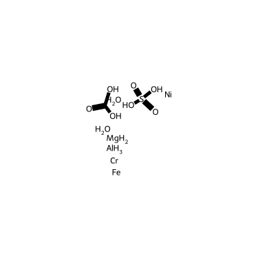 O.O.O=C(O)O.O=S(=O)(O)O.[AlH3].[Cr].[Fe].[MgH2].[Ni]